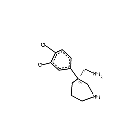 NC[C@@]1(c2ccc(Cl)c(Cl)c2)CCCNC1